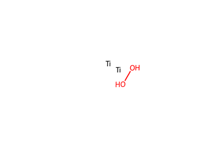 OO.[Ti].[Ti]